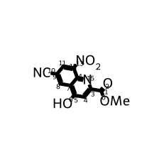 COC(=O)c1cc(O)c2cc(C#N)cc([N+](=O)[O-])c2n1